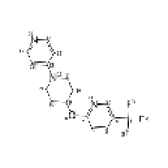 FC(F)(F)c1ccc(OC2CCN(c3ccncc3)CC2)nc1